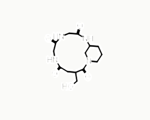 O=C1CNC(=O)CC(CO)C(=O)N2CCCC(C2)NC(=O)CN1